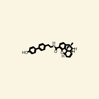 CN1CC[C@]23c4c5ccc(C(=O)NCCc6ccc(-c7ccc(O)cc7)cc6)c4O[C@H]2CC=C[C@H]3[C@H]1C5